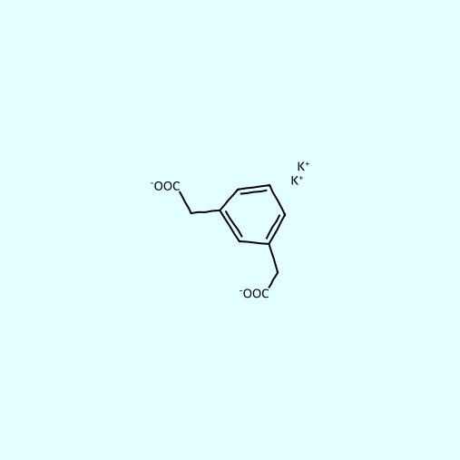 O=C([O-])Cc1cccc(CC(=O)[O-])c1.[K+].[K+]